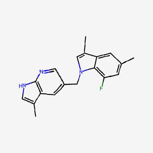 Cc1cc(F)c2c(c1)c(C)cn2Cc1cnc2[nH]cc(C)c2c1